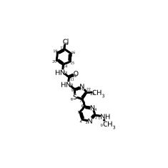 CNc1nccc(-c2sc(NC(=O)Nc3ccc(Cl)cc3)nc2C)n1